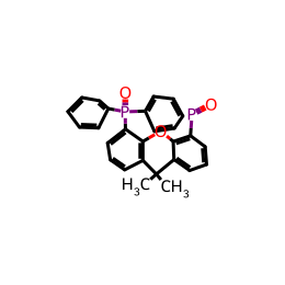 CC1(C)c2cccc(P=O)c2Oc2c1cccc2P(=O)(c1ccccc1)c1ccccc1